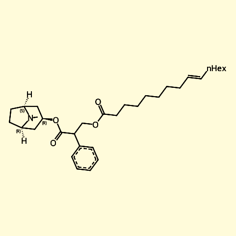 CCCCCCC=CCCCCCCCC(=O)OCC(C(=O)O[C@H]1C[C@H]2CC[C@@H](C1)N2C)c1ccccc1